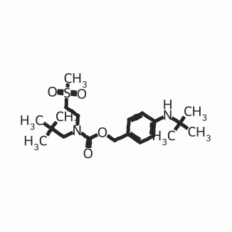 CC(C)(C)CN(CCS(C)(=O)=O)C(=O)OCc1ccc(NC(C)(C)C)cc1